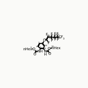 CCCCCCOC(=O)Nc1ccc(OC(F)=C(F)C(F)(F)C(F)(F)C(F)(F)C(F)(F)F)cc1NC(=O)OCCCCCC